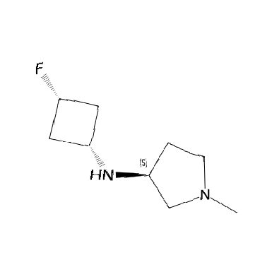 CN1CC[C@H](N[C@H]2C[C@@H](F)C2)C1